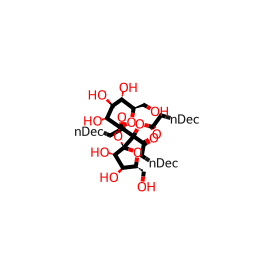 CCCCCCCCCCCC(=O)OC(C(=O)CCCCCCCCCCC)(C(=O)CCCCCCCCCCC)[C@@]1(O[C@H]2O[C@H](CO)[C@@H](O)[C@H](O)[C@H]2O)O[C@H](CO)[C@@H](O)[C@@H]1O